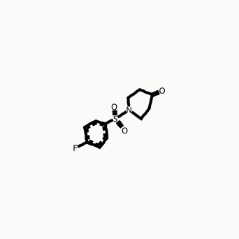 O=C1CCN(S(=O)(=O)c2ccc(F)cc2)CC1